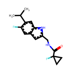 CC(C)c1cc2[nH]c(CNC(=O)C3(F)CC3)cc2cc1F